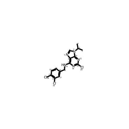 CC(C)n1cnc2c(NCc3ccc(Cl)c(Cl)c3)nc(Cl)nc21